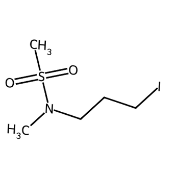 CN(CCCI)S(C)(=O)=O